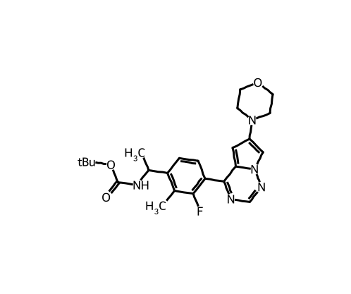 Cc1c(C(C)NC(=O)OC(C)(C)C)ccc(-c2ncnn3cc(N4CCOCC4)cc23)c1F